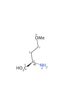 COCC[C@@H](N)C(=O)O